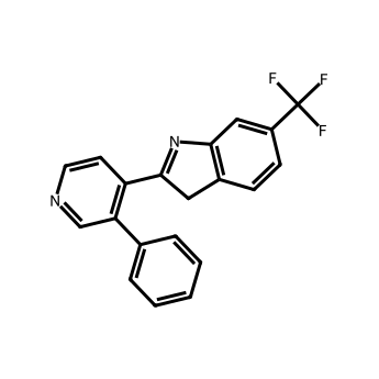 FC(F)(F)c1ccc2c(c1)N=C(c1ccncc1-c1ccccc1)C2